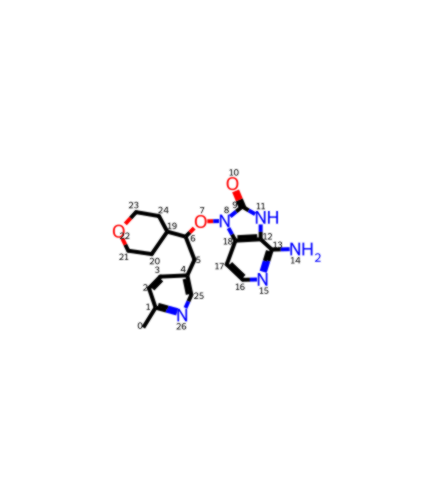 Cc1ccc(CC(On2c(=O)[nH]c3c(N)nccc32)C2CCOCC2)cn1